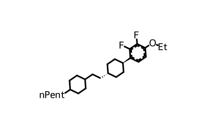 CCCCCC1CCC(CC[C@H]2CC[C@H](c3ccc(OCC)c(F)c3F)CC2)CC1